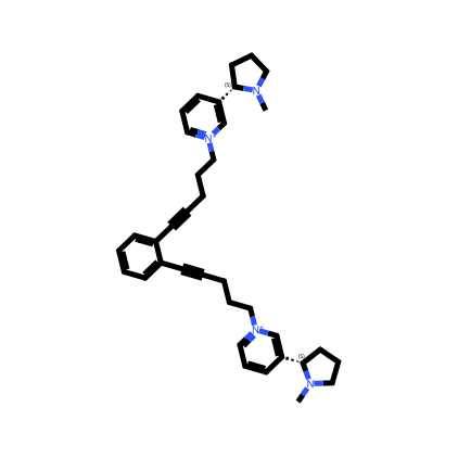 CN1CCC[C@H]1c1ccc[n+](CCCC#Cc2ccccc2C#CCCC[n+]2cccc([C@@H]3CCCN3C)c2)c1